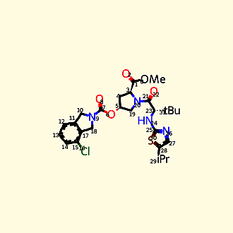 COC(=O)[C@@H]1C[C@@H](OC(=O)N2Cc3cccc(Cl)c3C2)CN1C(=O)[C@@H](Nc1ncc(C(C)C)s1)C(C)(C)C